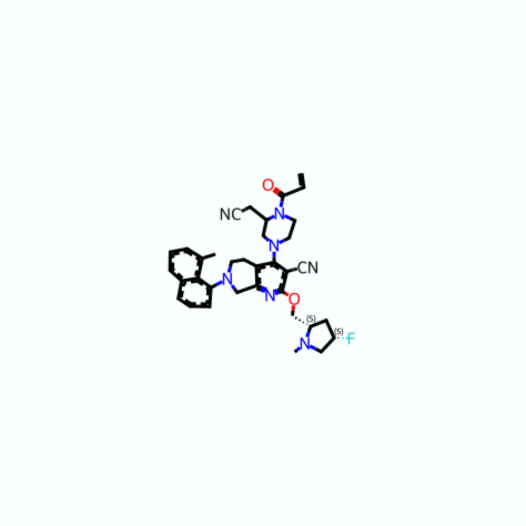 C=CC(=O)N1CCN(c2c(C#N)c(OC[C@@H]3C[C@H](F)CN3C)nc3c2CCN(c2cccc4cccc(C)c24)C3)CC1CC#N